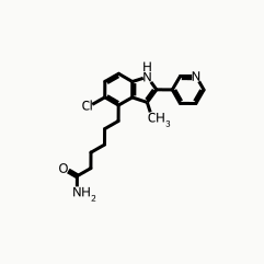 Cc1c(-c2cccnc2)[nH]c2ccc(Cl)c(CCCCCC(N)=O)c12